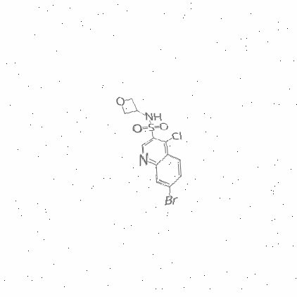 O=S(=O)(NC1COC1)c1cnc2cc(Br)ccc2c1Cl